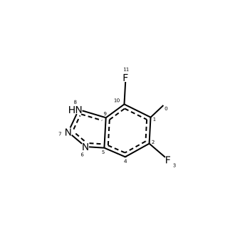 Cc1c(F)cc2nn[nH]c2c1F